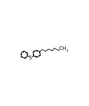 CCCCCCCc1ccc(Sc2ccccc2)cc1